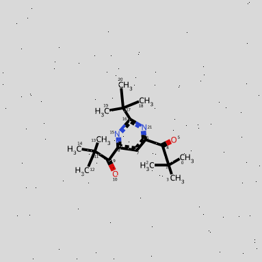 CC(C)(C)C(=O)c1cc(C(=O)C(C)(C)C)nc(C(C)(C)C)n1